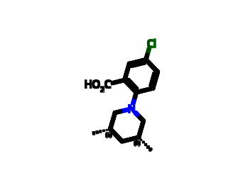 C[C@@H]1C[C@H](C)CN(c2ccc(Cl)cc2C(=O)O)C1